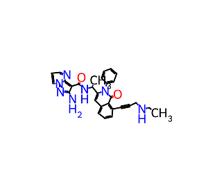 CCNCC#Cc1cccc2cc([C@H](C)NC(=O)c3c(N)nn4cccnc34)n(-c3ccccc3)c(=O)c12